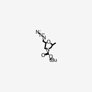 CC1CN(C(=O)OC(C)(C)C)CC(CN=[N+]=[N-])O1